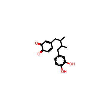 CC(CC1=CC(=O)C(=O)C=C1)C(C)Cc1ccc(O)c(O)c1